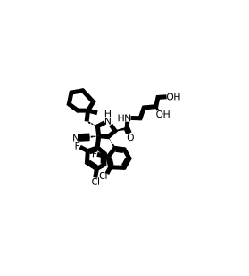 CC1(C[C@@H]2N[C@@H](C(=O)NCC[C@H](O)CO)[C@H](c3cccc(Cl)c3F)[C@@]2(C#N)c2ccc(Cl)cc2F)CCCCC1